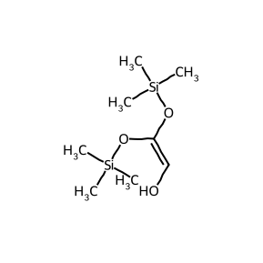 C[Si](C)(C)OC(=CO)O[Si](C)(C)C